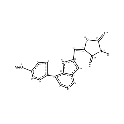 COc1ccc(-c2cncc3cc(/C=C4/SC(=S)N(C)C4=O)oc23)cc1